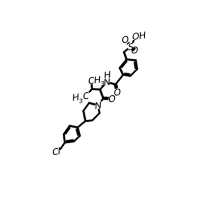 CC(C)C(NC(=O)c1cccc(CS(=O)(=O)O)c1)C(=O)N1CCC(c2ccc(Cl)cc2)CC1